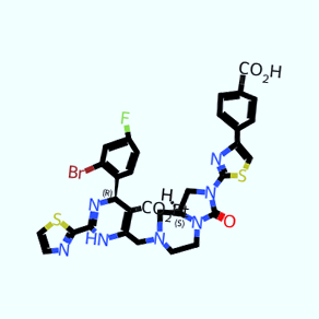 CCOC(=O)C1=C(CN2CCN3C(=O)N(c4nc(-c5ccc(C(=O)O)cc5)cs4)C[C@@H]3C2)NC(c2nccs2)=N[C@H]1c1ccc(F)cc1Br